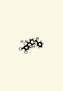 NC(c1cc(Cl)c(Cl)cc1O)C1CCN(C(=O)c2ccccc2)CC1